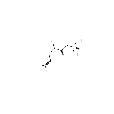 C/C(Cl)=C\CC(C)C(=O)CP(=O)(O)O